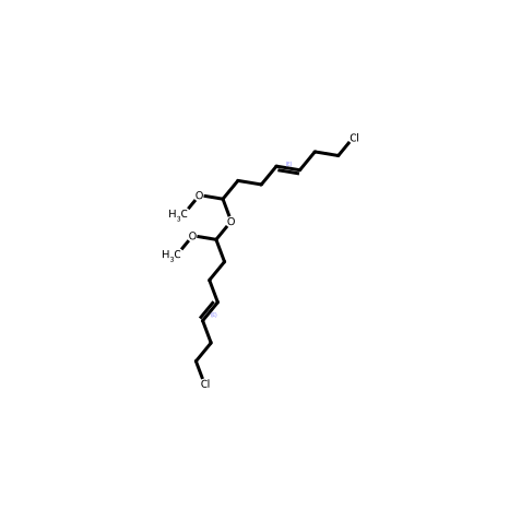 COC(CC/C=C/CCCl)OC(CC/C=C/CCCl)OC